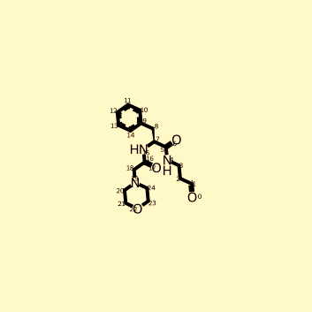 O=[C]CCNC(=O)[C@H](Cc1ccccc1)NC(=O)CN1CCOCC1